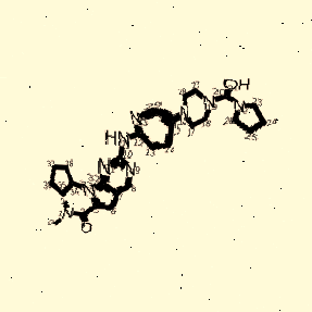 CN(C)C(=O)c1cc2cnc(Nc3ccc(N4CCN(C(O)N5CCCC5)CC4)cn3)nc2n1C1CCCC1